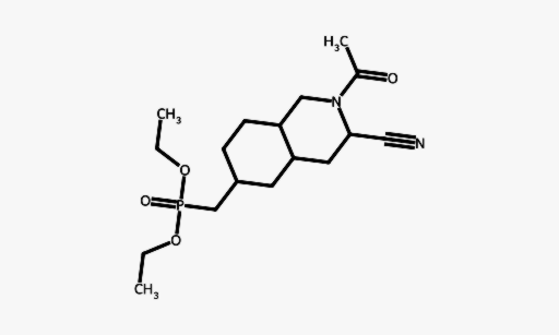 CCOP(=O)(CC1CCC2CN(C(C)=O)C(C#N)CC2C1)OCC